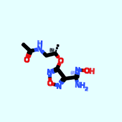 CC(=O)NC[C@H](C)Oc1nonc1/C(N)=N/O